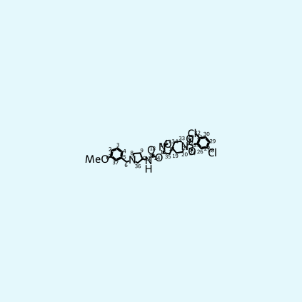 COc1cccc(CN2CCC(NC(=O)OC3=NOC4(CCN(S(=O)(=O)c5cc(Cl)ccc5Cl)CC4)C3)C2)c1